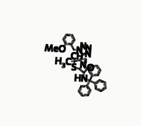 COc1ccccc1Cn1nnnc1C1N2C(=O)C(NC(c3ccccc3)(c3ccccc3)c3ccccc3)C2SC1(C)C